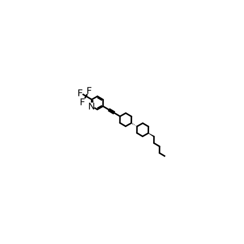 CCCCC[C@H]1CC[C@H](C2CCC(C#Cc3ccc(C(F)(F)F)nc3)CC2)CC1